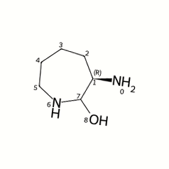 N[C@@H]1CCCCNC1O